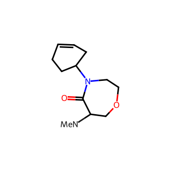 CNC1COCCN(C2CC=CCC2)C1=O